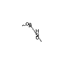 C=CCc1cccc([SiH](C)CCCCCCCC[Si](C)(CC)c2cccc(CC=C)c2)c1